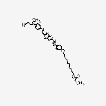 CCC(=O)OCCCCCCCCCCOc1ccc(N=Nc2cc3sc(N=Nc4ccc(N(C)CCC#N)cc4)nc3s2)cc1